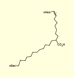 CCCCCC/C=C\CCCCCCC(CCCCCCCCCCCCCCCCCCCCCC)C(=O)O